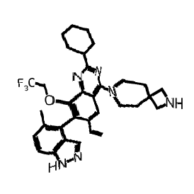 C=Cc1cc2c(N3CCC4(CC3)CNC4)nc(C3CCCCC3)nc2c(OCC(F)(F)F)c1-c1c(C)ccc2[nH]ncc12